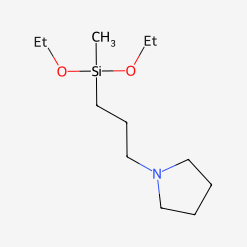 CCO[Si](C)(CCCN1CCCC1)OCC